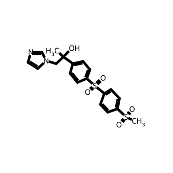 CC(O)(Cn1ccnc1)c1ccc(S(=O)(=O)c2ccc(S(C)(=O)=O)cc2)cc1